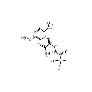 COc1ccc(OC)c(C=C(CNC(=O)C(F)(F)F)C(=O)O)c1